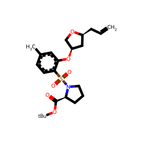 C=CC[C@H]1C[C@@H](Oc2cc(C)ccc2S(=O)(=O)N2CCC[C@H]2C(=O)OC(C)(C)C)CO1